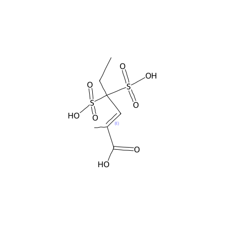 CCC(/C=C(\C)C(=O)O)(S(=O)(=O)O)S(=O)(=O)O